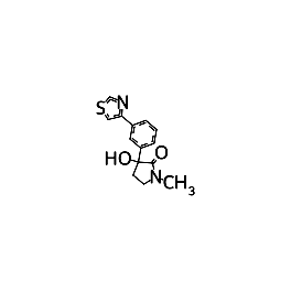 CN1CCC(O)(c2cccc(-c3cscn3)c2)C1=O